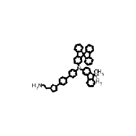 CC1(C)c2ccccc2-c2cc(N(c3ccc(-c4ccc(C5=CCC(CCN)C5)cc4)cc3)c3ccc4c(c3)C3(c5ccccc5-c5ccccc53)c3ccccc3-4)ccc21